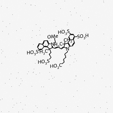 COCC[N+]1=C(/C=C/C=C2/N(CCCCCC(=O)O)c3ccc4c(S(=O)(=O)O)cc(S(=O)(=O)O)cc4c3C2(C)C)C(C)(CCCS(=O)(=O)O)c2c1ccc1ccc(S(=O)(=O)O)cc21